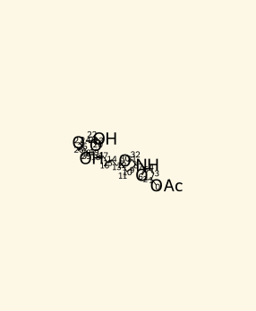 CC(=O)OC(C)/C=C\C(=O)N[C@@H]1C[C@H](C)[C@H](C/C=C(C)/C=C/[C@H]2O[C@](C)(O)C[C@@]3(CO3)[C@@H]2O)O[C@@H]1C